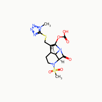 Cn1nnnc1SCC1=C(OC(=O)O)N2C(=O)[C@@H]3[C@H]2C1CCN3S(C)(=O)=O